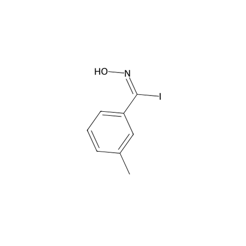 Cc1cccc(/C(I)=N\O)c1